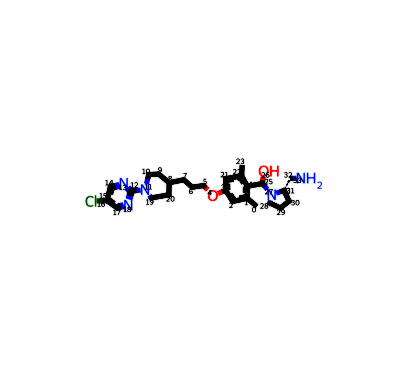 Cc1cc(OCCCC2CCN(c3ncc(Cl)cn3)CC2)cc(C)c1C(O)N1CCC[C@H]1CN